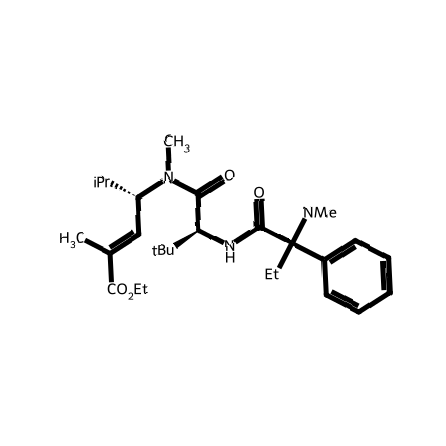 CCOC(=O)/C(C)=C/[C@H](C(C)C)N(C)C(=O)[C@@H](NC(=O)C(CC)(NC)c1ccccc1)C(C)(C)C